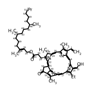 C=CC1=C(C)C2=NC1=CC1=NC(=C(CC)C1=CO)C=C1N=C3C(=C4NC(=C2)[C@@H](C)[C@@H]4CCC(=O)OC/C=C(\C)CCC[C@H](C)CCC[C@H](C)CCCC(C)C)CC(=O)C3=C1C